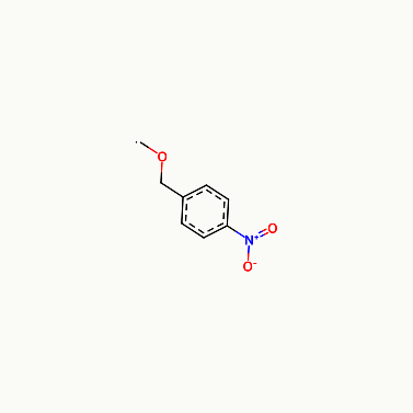 [CH2]OCc1ccc([N+](=O)[O-])cc1